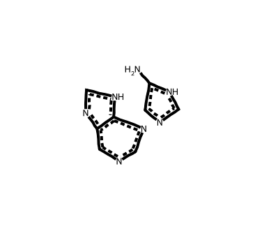 Nc1cnc[nH]1.c1ncc2nc[nH]c2n1